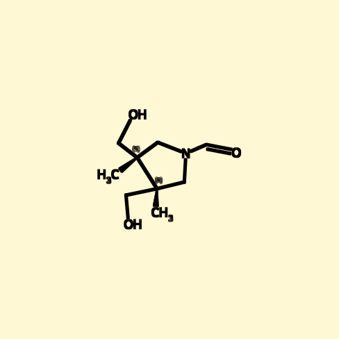 C[C@]1(CO)CN(C=O)C[C@@]1(C)CO